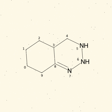 C1CCC2CNNN=C2C1